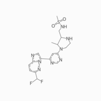 CC1C(CNS(C)(=O)=O)NCCN1c1cc(-c2cnc3ccc(C(F)F)nn23)ncn1